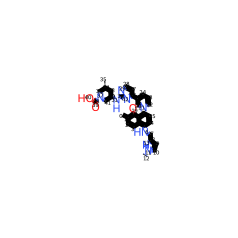 Cc1ccc2c(NCc3ccn(C)n3)cccc2c1Oc1ncccc1-c1ccnc(N[C@H]2C[C@@H](C)CN(C(=O)O)C2)n1